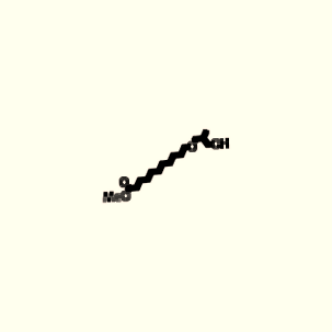 COC(=O)CCCCCCCCCCOCC(C)CO